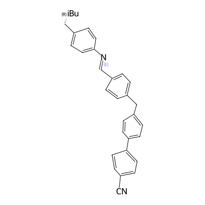 CC[C@@H](C)Cc1ccc(/N=C/c2ccc(Cc3ccc(-c4ccc(C#N)cc4)cc3)cc2)cc1